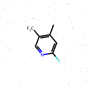 Cc1cc(F)ncc1C(F)(F)F